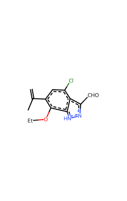 C=C(C)c1cc(Cl)c2c(C=O)n[nH]c2c1OCC